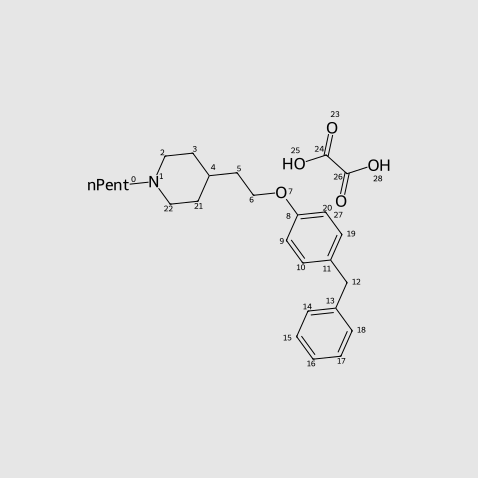 CCCCCN1CCC(CCOc2ccc(Cc3ccccc3)cc2)CC1.O=C(O)C(=O)O